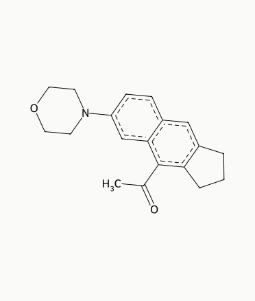 CC(=O)c1c2c(cc3ccc(N4CCOCC4)cc13)CCC2